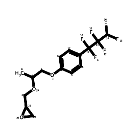 CC(COc1ccc(C(F)(F)C(F)(F)C(F)F)cc1)OCC1CO1